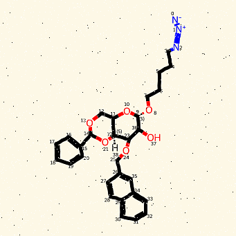 [N-]=[N+]=NCCCCCO[C@H]1OC2COC(c3ccccc3)O[C@@H]2C(OCc2ccc3ccccc3c2)C1O